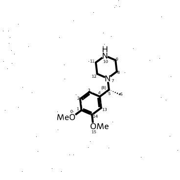 COc1ccc([C@@H](C)N2CCNCC2)cc1OC